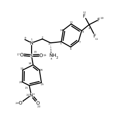 CN(C[C@@H](N)c1ccc(C(F)(F)F)cc1)S(=O)(=O)c1ccc([N+](=O)[O-])cc1